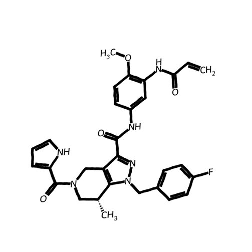 C=CC(=O)Nc1cc(NC(=O)c2nn(Cc3ccc(F)cc3)c3c2CN(C(=O)c2ccc[nH]2)C[C@H]3C)ccc1OC